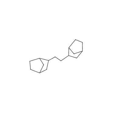 C1CC2CC1CC2CCC1CC2CCC1C2